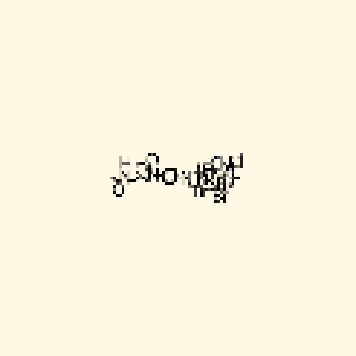 CC(=O)NCC1CN(c2ccc(N3CCN(C(NC(=O)C(Cl)(Cl)Cl)C(Br)(Br)Br)C(C)(F)C3)cc2)C(=O)O1